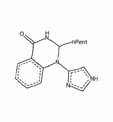 CCCCCC1NC(=O)c2ccccc2N1c1c[nH]cn1